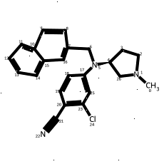 CN1CC[C@H](N(Cc2ccc3ccccc3c2)c2ccc(C#N)c(Cl)c2)C1